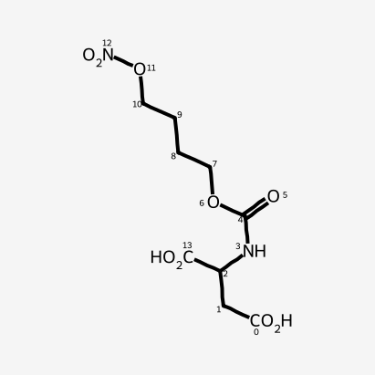 O=C(O)CC(NC(=O)OCCCCO[N+](=O)[O-])C(=O)O